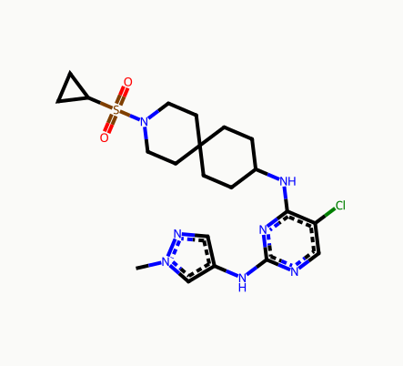 Cn1cc(Nc2ncc(Cl)c(NC3CCC4(CC3)CCN(S(=O)(=O)C3CC3)CC4)n2)cn1